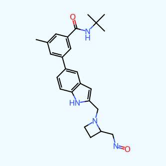 Cc1cc(C(=O)NC(C)(C)C)cc(-c2ccc3[nH]c(CN4CCC4CN=O)cc3c2)c1